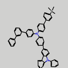 C[Si](C)(C)c1ccc(-c2ccc(N(c3ccc(-c4cccc(-c5ccccc5)c4)cc3)c3ccc(-c4ccc5c(c4)c4ccccc4n5-c4ccccc4)cc3)cc2)cc1